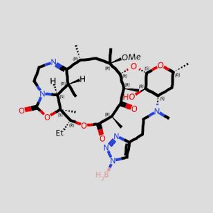 Bn1cc(CCN(C)[C@H]2C[C@@H](C)O[C@@H](O[C@@H]3[C@@H](C)C(=O)[C@@H](C)C(=O)O[C@H](CC)[C@@]4(C)OC(=O)N5CCN=C([C@H](C)C[C@@]3(C)OC)[C@H](C)[C@H]54)[C@@H]2O)nn1